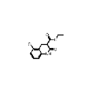 CCOC(=O)C1Cc2c(Cl)cccc2NC1=O